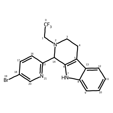 FC(F)(F)CN1CCc2c([nH]c3ccccc23)C1c1ccc(Br)cn1